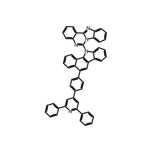 c1ccc(-c2cc(-c3ccc(-c4cc5c6ccccc6n(-c6nc7ccccc7c7nc8ccccc8n67)c5c5ccccc45)cc3)cc(-c3ccccc3)n2)cc1